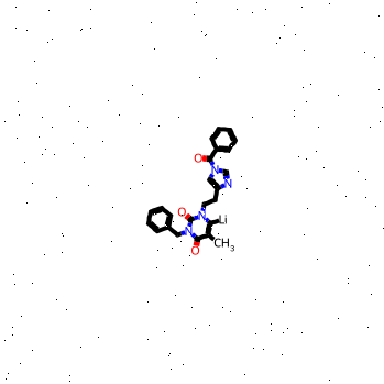 [Li][c]1c(C)c(=O)n(Cc2ccccc2)c(=O)n1CCc1cn(C(=O)c2ccccc2)cn1